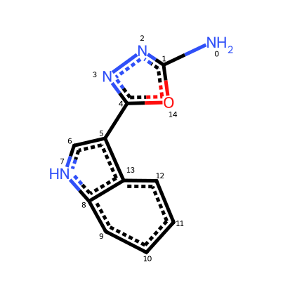 Nc1nnc(-c2c[nH]c3ccccc23)o1